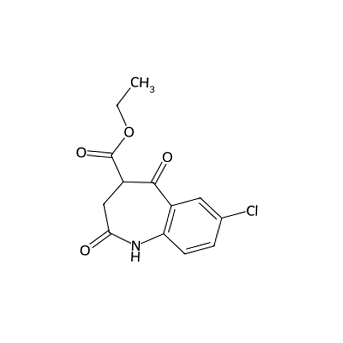 CCOC(=O)C1CC(=O)Nc2ccc(Cl)cc2C1=O